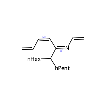 C=C/C=C\C(=N/C=C)C(CCCCC)CCCCCC